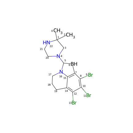 CC1(C)CN(C2Bc3c(Br)c(Br)c(Br)c4c3N2CCC4)CCN1